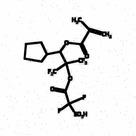 C=C(C)C(=O)OC(C1CCCC1)C(OC(=O)C(F)(F)S(=O)(=O)O)(C(F)(F)F)C(F)(F)F